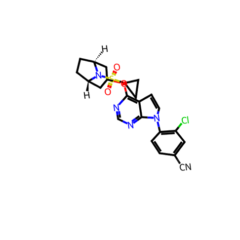 N#Cc1ccc(-n2ccc3c(OC4C[C@@H]5CC[C@@H](C4)N5S(=O)(=O)C4CC4)ncnc32)c(Cl)c1